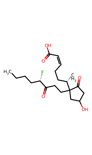 CCCC[C@H](F)C(=O)CCC1([C@@H](C)CC/C=C\C(=O)O)CC(O)CC1=O